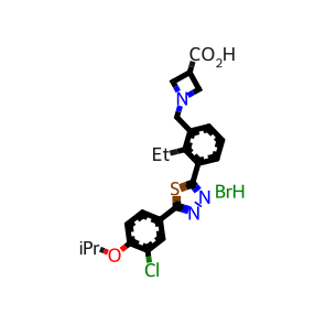 Br.CCc1c(CN2CC(C(=O)O)C2)cccc1-c1nnc(-c2ccc(OC(C)C)c(Cl)c2)s1